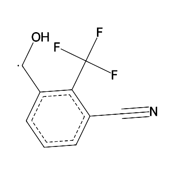 N#Cc1cccc([CH]O)c1C(F)(F)F